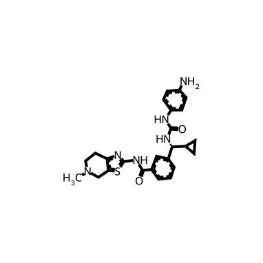 CN1CCc2nc(NC(=O)c3cccc([C@H](NC(=O)Nc4ccc(N)cc4)C4CC4)c3)sc2C1